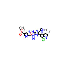 CCOC(=O)c1ccc(CC(=O)Nc2nc(-c3cc(Cl)c4ncccc4c3)c(-c3ccn(C)n3)nc2N)nc1